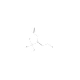 C=CC/C(=C\CI)C(F)(F)F